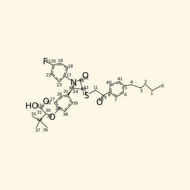 CCCCCc1ccc(C(=O)CS[C@H]2C(=O)N(c3ccc(F)cc3)[C@@H]2c2ccc(OC(C(=O)O)C(C)(C)C)cc2)cc1